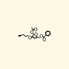 C#CCCCO[C@@H]1[CH][C@H](COC(=O)c2ccccc2)OC1OC(C)=O